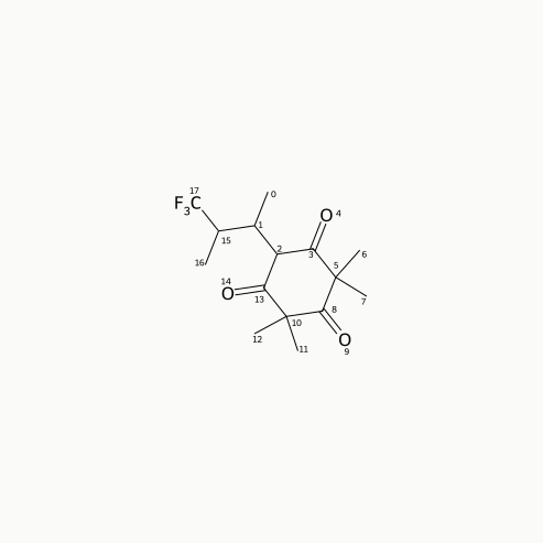 CC(C1C(=O)C(C)(C)C(=O)C(C)(C)C1=O)C(C)C(F)(F)F